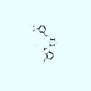 CCc1nnc(-n2c(OC)nc3c(CN)cccc32)nc1NCc1cccc(B(O)O)c1